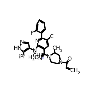 C=CC(=O)N1CCN(/C(=N/C)c2cc(Cl)c(-c3ccccc3F)nc2N(C=O)c2cn[nH]c2C(C)C)C(C)C1